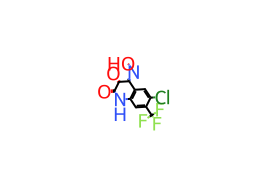 O=C1Nc2cc(C(F)(F)F)c(Cl)cc2C(=NO)C1=O